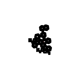 CC1(C)c2ccccc2-c2c(-c3ccccc3N(c3ccc(-c4cccc5ccccc45)cc3)c3ccc4c(c3)C(C)(C3=CC=CCC3)c3ccccc3-4)cccc21